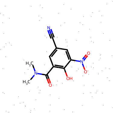 CN(C)C(=O)c1cc(C#N)cc([N+](=O)[O-])c1O